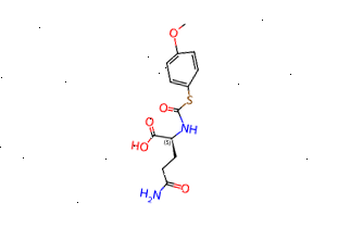 COc1ccc(SC(=O)N[C@@H](CCC(N)=O)C(=O)O)cc1